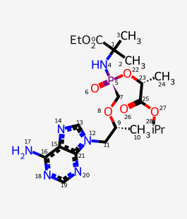 CCOC(=O)C(C)(C)N[P@](=O)(CO[C@H](C)Cn1cnc2c(N)ncnc21)O[C@H](C)C(=O)OC(C)C